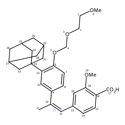 COCCOCOc1ccc(/C(C)=C\c2ccc(C(=O)O)c(OC)c2)cc1C12CC3CC(CC(C3)C1)C2